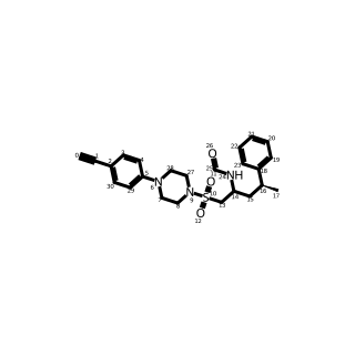 C#Cc1ccc(N2CCN(S(=O)(=O)CC(C[C@H](C)c3ccccc3)NC=O)CC2)cc1